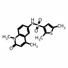 Cc1cc(S(=O)(=O)Nc2ccc3c(c2)c(C)cc(=O)n3C)c(C)s1